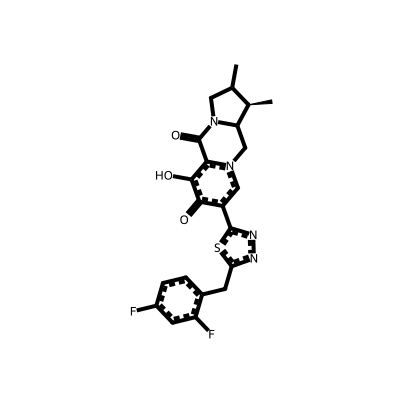 CC1CN2C(=O)c3c(O)c(=O)c(-c4nnc(Cc5ccc(F)cc5F)s4)cn3CC2[C@@H]1C